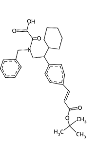 CC(C)(C)OC(=O)C=Cc1ccc(C(CN(Cc2ccccc2)C(=O)C(=O)O)C2CCCCC2)cc1